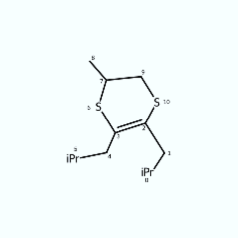 CC(C)CC1=C(CC(C)C)SC(C)CS1